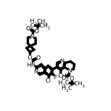 Cc1c(-c2cc3cc(NC(=O)OC4CC5(CCN(C(=O)OC(C)(C)C)CC5)C4)ncc3c(Cl)c2F)cnc2c1N(C(=O)OC(C)(C)C)CCC2